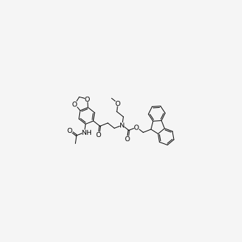 COCCN(CCC(=O)c1cc2c(cc1NC(C)=O)OCO2)C(=O)OCC1c2ccccc2-c2ccccc21